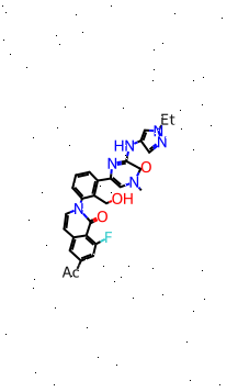 CCn1cc(Nc2nc(-c3cccc(-n4ccc5cc(C(C)=O)cc(F)c5c4=O)c3CO)cn(C)c2=O)cn1